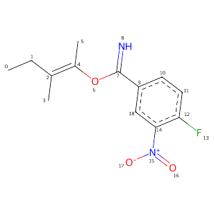 CC/C(C)=C(\C)OC(=N)c1ccc(F)c([N+](=O)[O-])c1